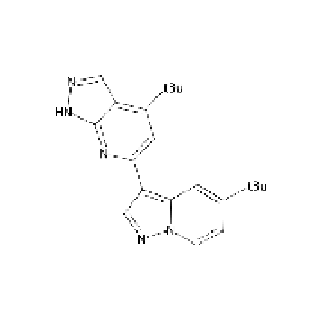 CC(C)(C)c1ccn2ncc(-c3cc(C(C)(C)C)c4cn[nH]c4n3)c2c1